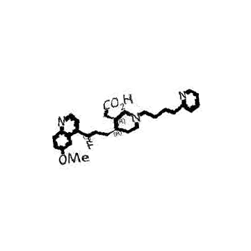 COc1ccc2nccc([C@@H](F)CC[C@@H]3CCN(CCCCc4ccccn4)C[C@@H]3CC(=O)O)c2c1